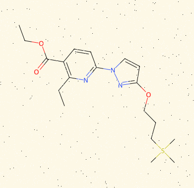 CCOC(=O)c1ccc(-n2ccc(OCCCS(C)(C)C)n2)nc1CC